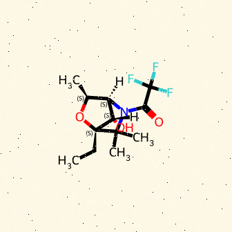 CC[C@@]12O[C@@H](C)[C@H]([C@@H]1O)N(C(=O)C(F)(F)F)C2(C)C